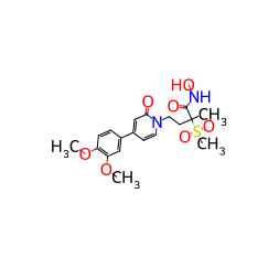 COc1ccc(-c2ccn(CCC(C)(C(=O)NO)S(C)(=O)=O)c(=O)c2)cc1OC